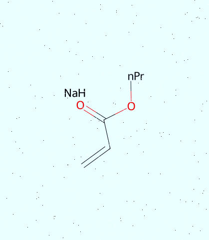 C=CC(=O)OCCC.[NaH]